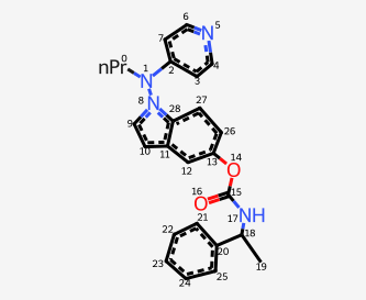 CCCN(c1ccncc1)n1ccc2cc(OC(=O)NC(C)c3ccccc3)ccc21